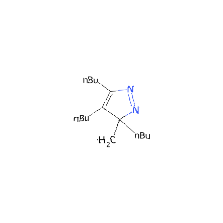 [CH2]C1(CCCC)N=NC(CCCC)=C1CCCC